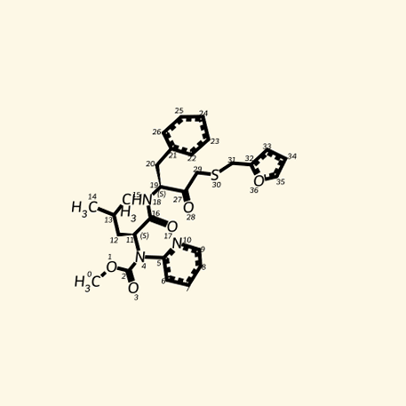 COC(=O)N(c1ccccn1)[C@@H](CC(C)C)C(=O)N[C@@H](Cc1ccccc1)C(=O)CSCc1ccco1